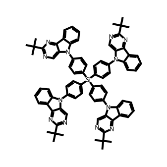 CC(C)(C)c1ncc2c(n1)c1ccccc1n2-c1ccc([Si](c2ccc(-n3c4ccccc4c4nc(C(C)(C)C)ncc43)cc2)(c2ccc(-n3c4ccccc4c4nc(C(C)(C)C)ncc43)cc2)c2ccc(-n3c4ccccc4c4nc(C(C)(C)C)ncc43)cc2)cc1